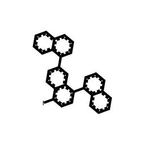 Ic1ccc(-c2cccc3ccccc23)c2cc(-c3cccc4ccccc34)ccc12